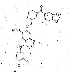 COc1cc2c(Nc3ccc(Cl)c(Cl)c3)ncnc2cc1OCC1CN(C(=O)c2ccc3c(c2)OCO3)CCO1